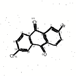 O=C1c2ccc(Br)cc2C(=O)c2ccc(Cl)cc21